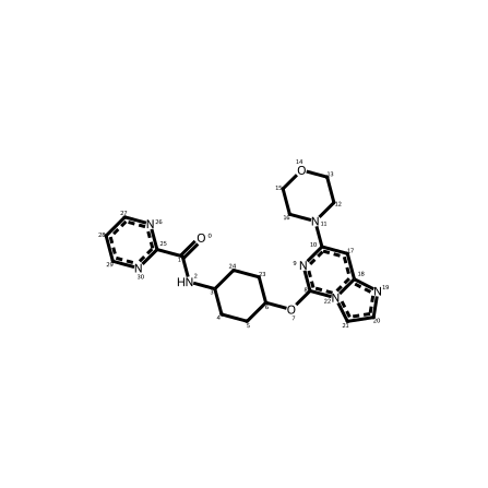 O=C(NC1CCC(Oc2nc(N3CCOCC3)cc3nccn23)CC1)c1ncccn1